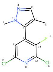 Cc1cnn(C)c1-c1cc(Cl)nc(Cl)c1F